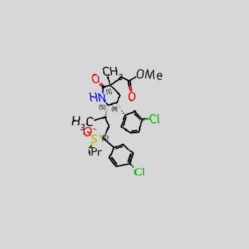 COC(=O)C[C@]1(C)C[C@H](c2cccc(Cl)c2)[C@H](C(C)C[C@@H](c2ccc(Cl)cc2)[S+]([O-])C(C)C)NC1=O